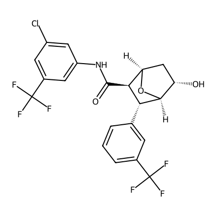 O=C(Nc1cc(Cl)cc(C(F)(F)F)c1)[C@@H]1[C@@H](c2cccc(C(F)(F)F)c2)[C@H]2O[C@@H]1C[C@@H]2O